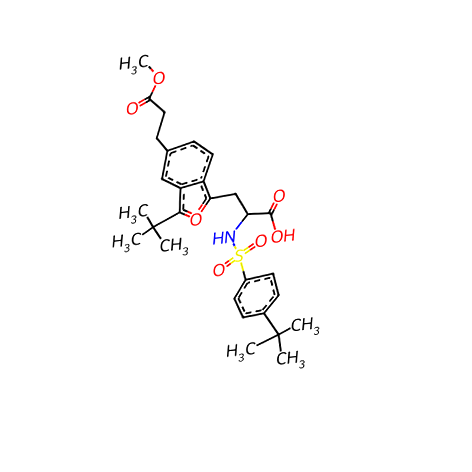 COC(=O)CCc1ccc2c(CC(NS(=O)(=O)c3ccc(C(C)(C)C)cc3)C(=O)O)oc(C(C)(C)C)c2c1